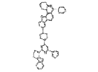 c1ccc(-c2cc(-c3ccc(-c4ccc5oc6c(ccc7c(-c8ccccc8)nc8ccccc8c76)c5c4)cc3)nc(-c3cccc4c3oc3ccccc34)n2)cc1